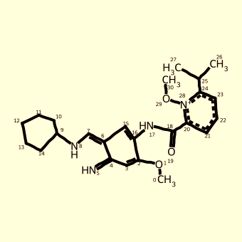 COC1=CC(=N)/C(=C\NC2CCCCC2)C=C1NC(=O)c1cccc(C(C)C)[n+]1OC